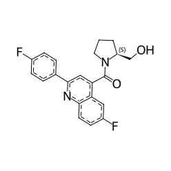 O=C(c1cc(-c2ccc(F)cc2)nc2ccc(F)cc12)N1CCC[C@H]1CO